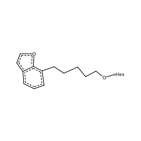 [CH2]CCCCCOCCCCCc1cccc2ccoc12